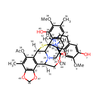 COc1cc2c(cc1O)CCN(C)[C@]21CS[C@@H]2c3c(OC(C)=O)c(C)c4c(c3[C@H](COC1=O)N1C2[C@H]2c3c(cc(C)c(OC)c3O)C[C@@H]([C@@H]1C#N)N2C)OCO4